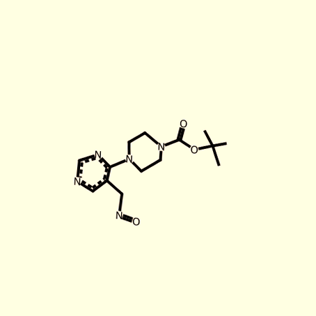 CC(C)(C)OC(=O)N1CCN(c2ncncc2CN=O)CC1